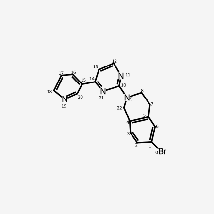 Brc1ccc2c(c1)CCN(c1nccc(-c3cccnc3)n1)C2